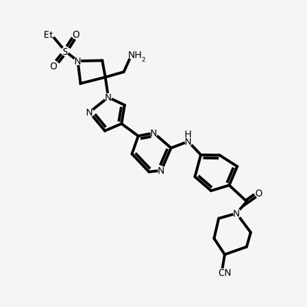 CCS(=O)(=O)N1CC(CN)(n2cc(-c3ccnc(Nc4ccc(C(=O)N5CCC(C#N)CC5)cc4)n3)cn2)C1